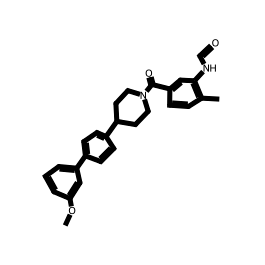 COc1cccc(-c2ccc(C3CCN(C(=O)c4ccc(C)c(NC=O)c4)CC3)cc2)c1